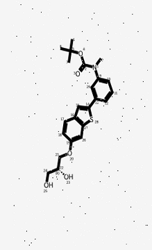 CN(C(=O)OC(C)(C)C)c1cccc(-c2cc3ccc(OC[C@H](O)CO)cc3s2)c1